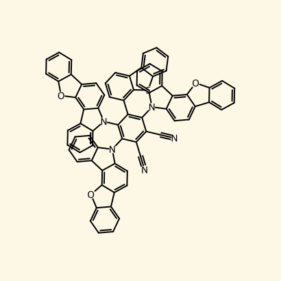 N#Cc1c(C#N)c(-n2c3ccccc3c3c4oc5ccccc5c4ccc32)c(-n2c3ccccc3c3c4oc5ccccc5c4ccc32)c(-c2cccc3c2sc2ccccc23)c1-n1c2ccccc2c2c3oc4ccccc4c3ccc21